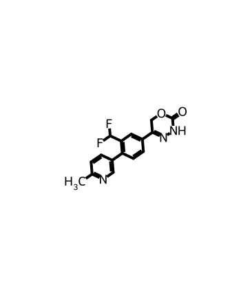 Cc1ccc(-c2ccc(C3=NNC(=O)OC3)cc2C(F)F)cn1